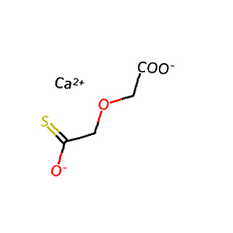 O=C([O-])COCC([O-])=S.[Ca+2]